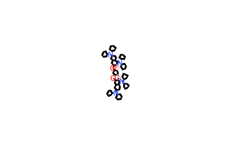 c1ccc(N(c2ccccc2)c2ccc3c4c5c(cc3c2)Oc2cc3c(cc2B5c2ccccc2N4c2ccccc2)B2c4ccccc4N(c4ccccc4)c4c2c(cc2cc(N(c5ccccc5)c5ccccc5)ccc42)O3)cc1